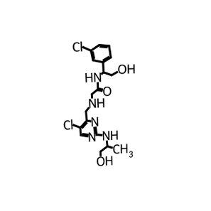 CC(CO)Nc1ncc(Cl)c(CNCC(=O)NC(CO)c2cccc(Cl)c2)n1